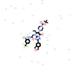 CCc1c(N2CCN(C(=O)OC(C)(C)C)CC2)c(=O)n2nc(-c3ccc4c(c3)COC4)nc2n1CC(=O)Nc1ccc(C(F)(F)F)cc1Cl